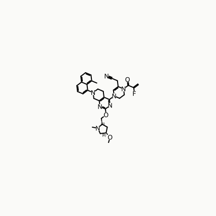 C=C(F)C(=O)N1CCN(c2nc(OC[C@H]3C[C@@H](OC)CN3C)nc3c2CCN(c2cccc4cccc(C)c24)C3)C=C1CC#N